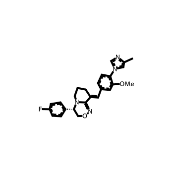 COc1cc(/C=C2\CCCN3C2=NOC[C@@H]3c2ccc(F)cc2)ccc1-n1cnc(C)c1